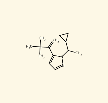 C=C(c1ccnn1C(C)C1CC1)C(C)(C)C